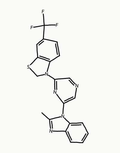 Cc1nc2ccccc2n1-c1cncc(N2CSc3cc(C(F)(F)F)ccc32)n1